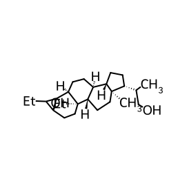 CCC1C2[C@H]3CC[C@H]4[C@@H]5CC[C@H](C(C)CO)[C@@]5(C)CC[C@@H]4[C@@]3(CC)CC[C@]12O